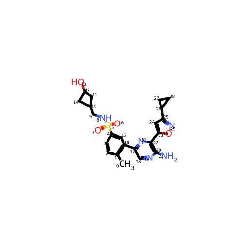 Cc1ccc(S(=O)(=O)NCC2CC(O)C2)cc1-c1cnc(N)c(-c2cc(C3CC3)no2)n1